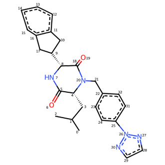 CC(C)C[C@@H]1C(=O)N[C@H](C2Cc3ccccc3C2)C(=O)N1Cc1ccc(-n2nccn2)cc1